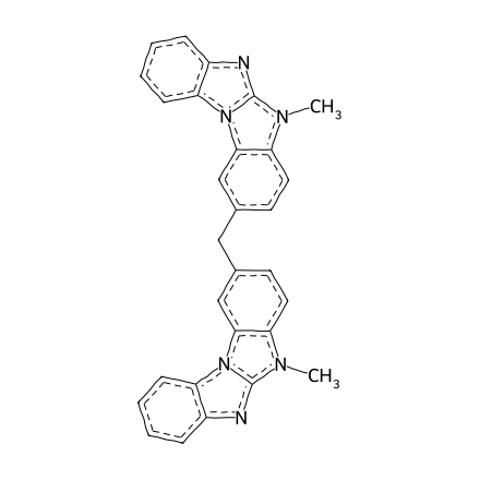 Cn1c2ccc(Cc3ccc4c(c3)n3c5ccccc5nc3n4C)cc2n2c3ccccc3nc12